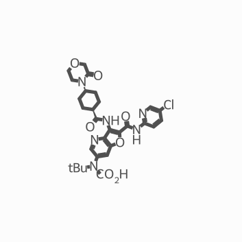 CC(C)(C)N(C(=O)O)c1cnc2c(NC(=O)[C@H]3CC[C@H](N4CCOCC4=O)CC3)c(C(=O)Nc3ccc(Cl)cn3)oc2c1